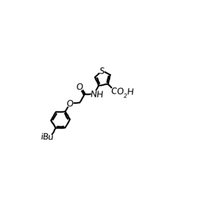 CCC(C)c1ccc(OCC(=O)Nc2cscc2C(=O)O)cc1